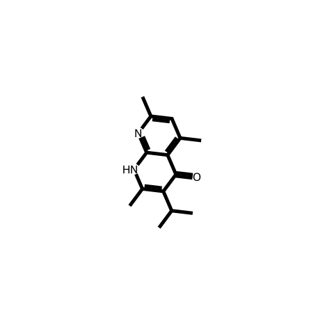 Cc1cc(C)c2c(=O)c(C(C)C)c(C)[nH]c2n1